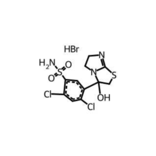 Br.NS(=O)(=O)c1cc(C2(O)CSC3=NCCN32)c(Cl)cc1Cl